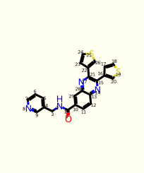 O=C(NCc1cccnc1)c1ccc2nc(-c3ccsc3)c(-c3ccsc3)nc2c1